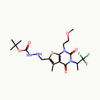 COCCn1c(=O)n(C(C)C(F)(F)F)c(=O)c2c(C)c(CNNC(=O)OC(C)(C)C)sc21